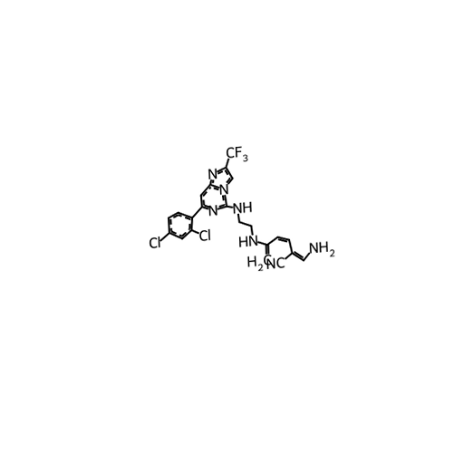 C=C(/C=C\C(C#N)=C/N)NCCNc1nc(-c2ccc(Cl)cc2Cl)cc2nc(C(F)(F)F)cn12